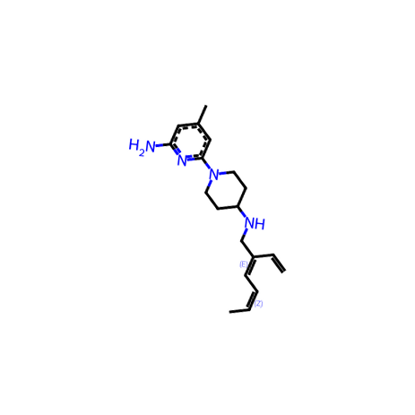 C=C/C(=C\C=C/C)CNC1CCN(c2cc(C)cc(N)n2)CC1